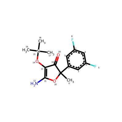 CC1(c2cc(F)cc(F)c2)OC(N)=C(O[Si](C)(C)C)C1=O